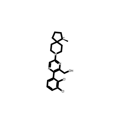 C[C@@H]1CCCC12CCN(c1cnc(-c3cccc(Cl)c3Cl)c(CO)n1)CC2